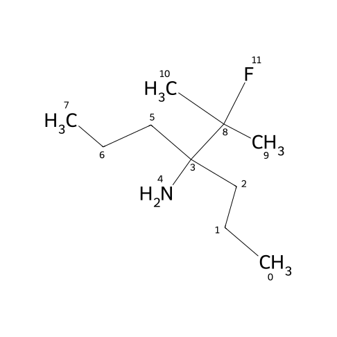 CCCC(N)(CCC)C(C)(C)F